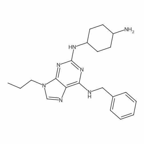 CCCn1cnc2c(NCc3ccccc3)nc(NC3CCC(N)CC3)nc21